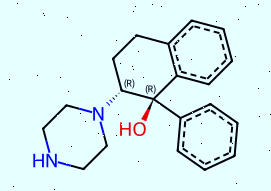 O[C@]1(c2ccccc2)c2ccccc2CC[C@H]1N1CCNCC1